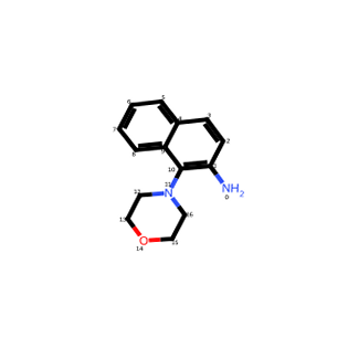 Nc1ccc2ccccc2c1N1CCOCC1